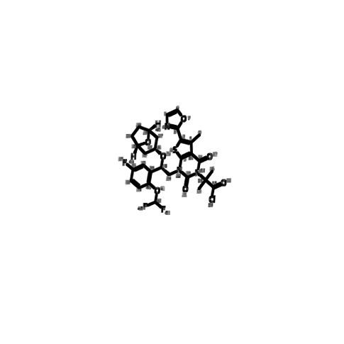 Cc1c(-c2ncco2)sc2c1c(=O)n(C(C)(C)C(=O)Cl)c(=O)n2C[C@H](O[C@@H]1C[C@H]2CC[C@@H](C1)O2)c1cc(F)ccc1OC(F)F